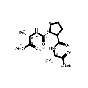 COC(=O)[C@@H](NC(=O)[C@@H]1CCC[C@H]1C(=O)N[C@H](C(=O)OC)C(C)C)C(C)C